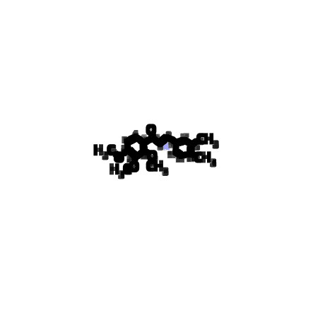 COc1ccc(C(=O)/C=C/c2ccc(C)c(C)c2)c(OC)c1OC